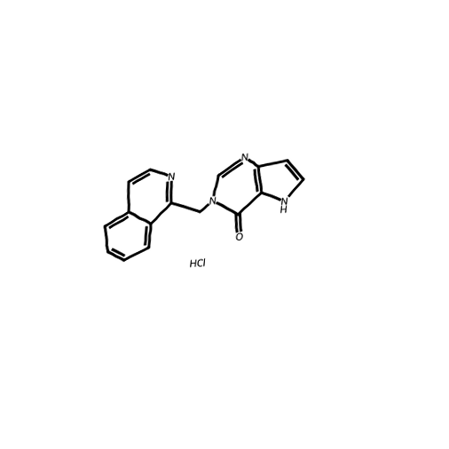 Cl.O=c1c2[nH]ccc2ncn1Cc1nccc2ccccc12